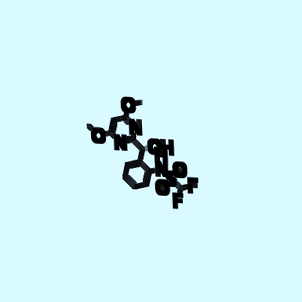 COc1cc(OC)nc([C@H](O)c2ccccc2NS(=O)(=O)C(F)F)n1